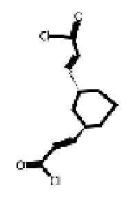 O=C(Cl)C=C[C@@H]1CCC[C@@H](C=CC(=O)Cl)C1